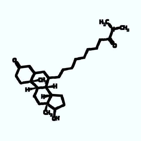 CN(C)C(=O)CCCCCCCCC1CC2CC(=O)CC[C@]2(C)[C@@H]2CC[C@]3(C)C(O)CC[C@H]3[C@H]12